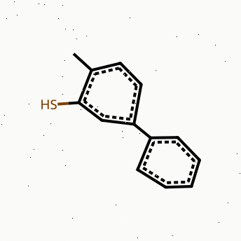 Cc1ccc(-c2ccccc2)cc1S